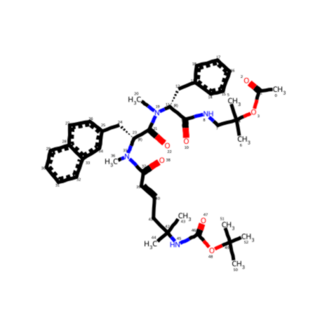 CC(=O)OC(C)(C)CNC(=O)[C@@H](Cc1ccccc1)N(C)C(=O)[C@@H](Cc1ccc2ccccc2c1)N(C)C(=O)C=CCC(C)(C)NC(=O)OC(C)(C)C